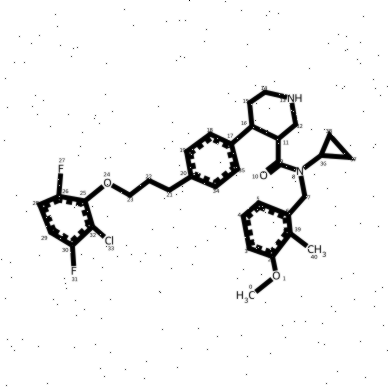 COc1cccc(CN(C(=O)C2CNCCC2c2ccc(CCCOc3c(F)ccc(F)c3Cl)cc2)C2CC2)c1C